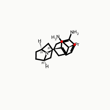 CC(C)[C@H]1CC[C@@H](N2[C@@H]3CC[C@H]2C[C@@H](c2cccc(N)c2N)C3)CC1